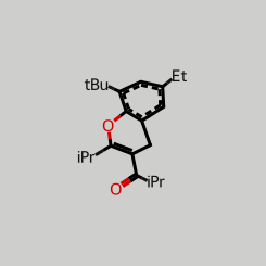 CCc1cc2c(c(C(C)(C)C)c1)OC(C(C)C)=C(C(=O)C(C)C)C2